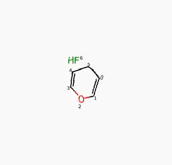 C1=COC=CC1.F